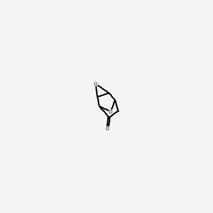 O=C1CC2OC1C1OC21